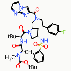 C[C@@H](C(=O)N[C@H](C(=O)N1C[C@@H](NS(=O)(=O)c2ccccc2)C[C@H]1CN(CCc1ccc(F)cc1)C(=O)c1cn2cccnc2n1)C(C)(C)C)N(C)C(=O)OC(C)(C)C